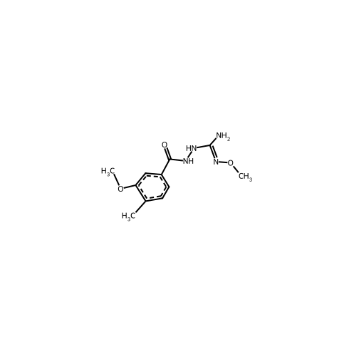 CON=C(N)NNC(=O)c1ccc(C)c(OC)c1